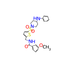 COc1cccc(C(=O)NCc2ccc(S(=O)(=O)N3CCC(Nc4ccccc4)CC3)s2)c1